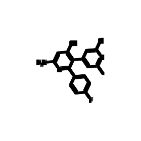 Cc1cc(-c2c(C#N)cc(N)nc2-c2ccc(F)cc2)cc(Cl)n1